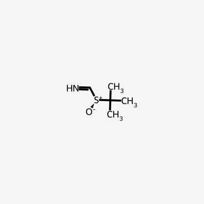 CC(C)(C)[S@@+]([O-])C=N